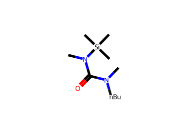 CCCCN(C)C(=O)N(C)[Si](C)(C)C